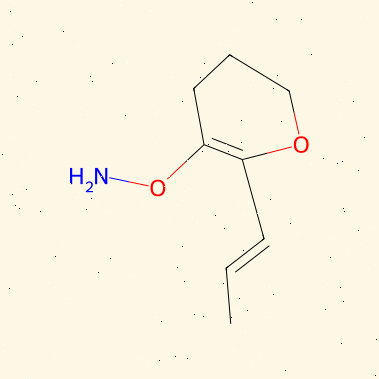 C/C=C/C1=C(ON)CCCO1